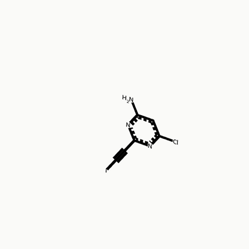 Nc1cc(Cl)nc(C#CI)n1